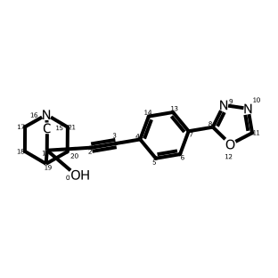 OC1(C#Cc2ccc(-c3nnco3)cc2)CN2CCC1CC2